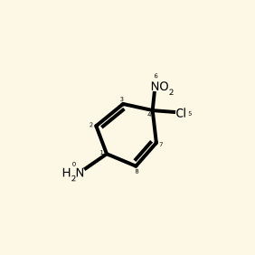 NC1C=CC(Cl)([N+](=O)[O-])C=C1